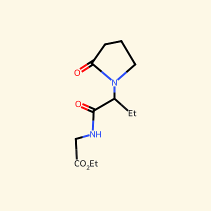 CCOC(=O)CNC(=O)C(CC)N1CCCC1=O